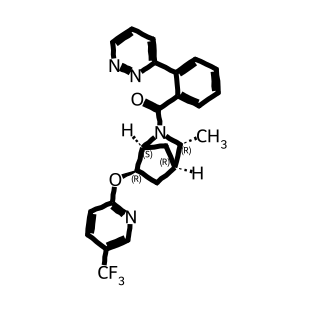 C[C@@H]1[C@H]2C[C@@H](Oc3ccc(C(F)(F)F)cn3)[C@H](C2)N1C(=O)c1ccccc1-c1cccnn1